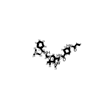 C=CC(=O)Nc1ccc(C(=O)Nc2nn(C)c3c2CN(CN[C@H](CN(C)C)c2ccccc2)C3(C)C)cc1